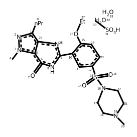 CCCc1nn(C)c2c(=O)[nH]c(-c3cc(S(=O)(=O)N4CCN(C)CC4)ccc3OCC)nc12.CS(=O)(=O)O.O.O